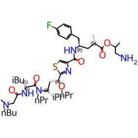 CCCCN(C)CC(=O)N[C@H](C(=O)N(CCC)[C@H](C[C@@H](OCCC)c1nc(C(=O)N[C@@H](Cc2ccc(F)cc2)C[C@H](C)C(=O)OC(C)CN)cs1)C(C)C)[C@@H](C)CC